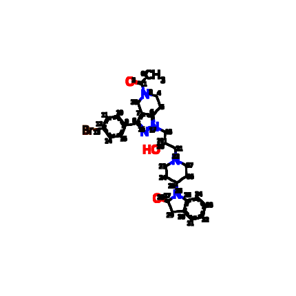 CC(=O)N1CCc2c(c(-c3ccc(Br)cc3)nn2CC(O)CN2CCC(N3C(=O)Cc4ccccc43)CC2)C1